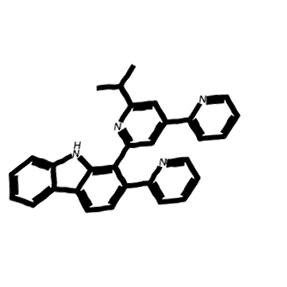 CC(C)c1cc(-c2ccccn2)cc(-c2c(-c3ccccn3)ccc3c2[nH]c2ccccc23)n1